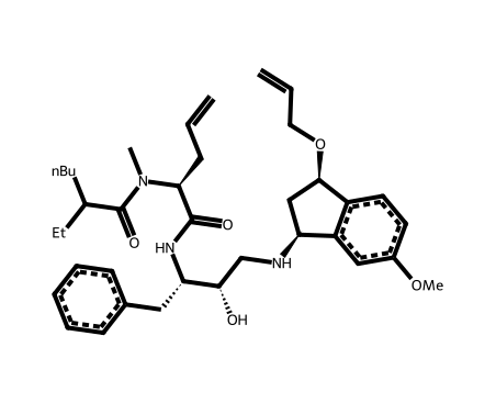 C=CCO[C@@H]1C[C@H](NC[C@H](O)[C@H](Cc2ccccc2)NC(=O)[C@H](CC=C)N(C)C(=O)C(CC)CCCC)c2cc(OC)ccc21